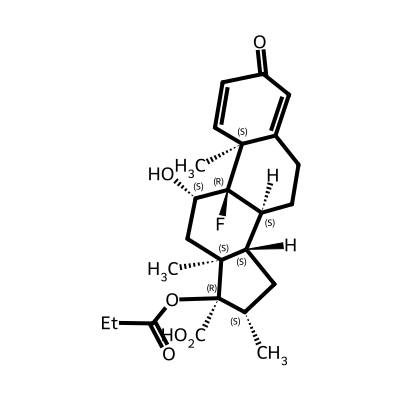 CCC(=O)O[C@]1(C(=O)O)[C@@H](C)C[C@H]2[C@@H]3CCC4=CC(=O)C=C[C@]4(C)[C@@]3(F)[C@@H](O)C[C@@]21C